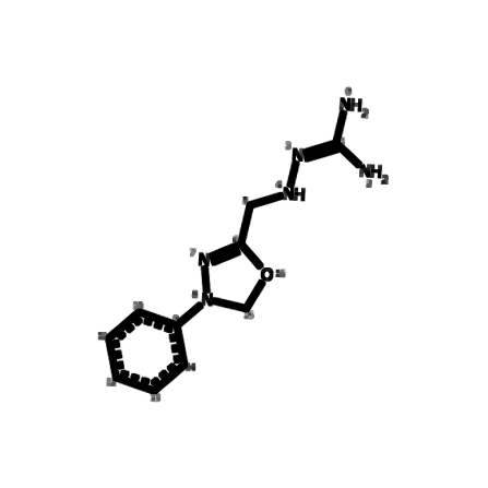 NC(N)=NNCC1=NN(c2ccccc2)CO1